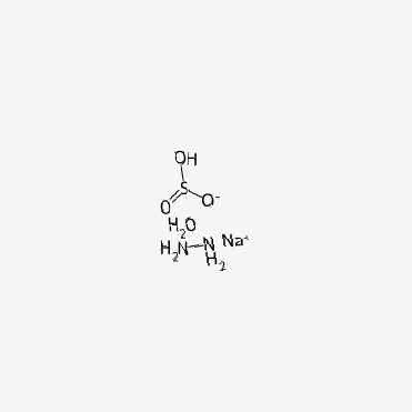 NN.O.O=S([O-])O.[Na+]